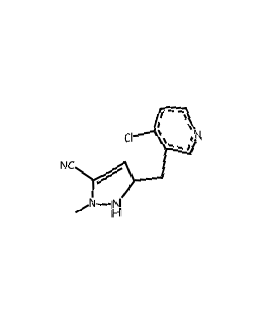 CN1NC(Cc2cnccc2Cl)C=C1C#N